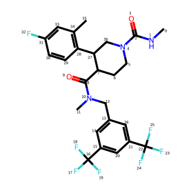 CNC(=O)N1CCC(C(=O)N(C)Cc2cc(C(F)(F)F)cc(C(F)(F)F)c2)C(c2ccc(F)cc2C)C1